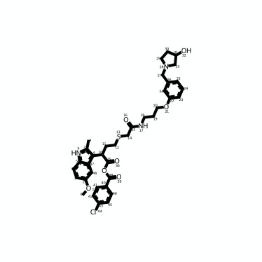 COc1ccc2[nH]c(C)c(C(CCSCC(=O)NCCCOc3cccc(CN4CCC(O)C4)c3)C(=O)OC(=O)c3ccc(Cl)cc3)c2c1